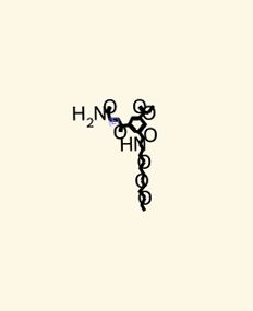 CCOCCOCCOCCNC(=O)c1cc(C(=O)/C=C/C(N)=O)cc(C(=O)OC)c1